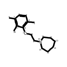 Cc1ccc(C)c(OCCN2CCCCCC2)c1C